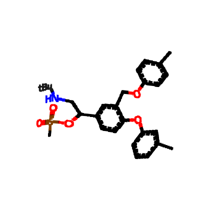 Cc1ccc(OCc2cc(C(CNC(C)(C)C)OS(C)(=O)=O)ccc2Oc2cccc(C)c2)cc1